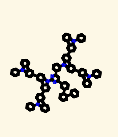 c1ccc(-c2ccccc2-c2cccc(-c3cc(-c4cccc(-n5c6ccc(-c7ccc8c(c7)c7ccccc7n8-c7ccccc7)cc6c6cc(-c7ccc8c(c7)c7ccccc7n8-c7ccccc7)ccc65)c4)nc(-n4c5ccc(-c6ccc7c(c6)c6ccccc6n7-c6ccccc6)cc5c5cc(-c6ccc7c(c6)c6ccccc6n7-c6ccccc6)ccc54)n3)c2)cc1